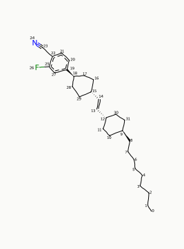 CCCCCCCCC[C@H]1CC[C@H](/C=C/[C@H]2CC[C@H](c3ccc(C#N)c(F)c3)CC2)CC1